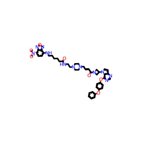 O=C(CCCCCNc1ccc([N+](=O)[O-])c2nonc12)NCCN1CCN(C/C=C/C(=O)N2CC(n3ccc4ncnc(Oc5ccc(Oc6ccccc6)cc5)c43)C2)CC1